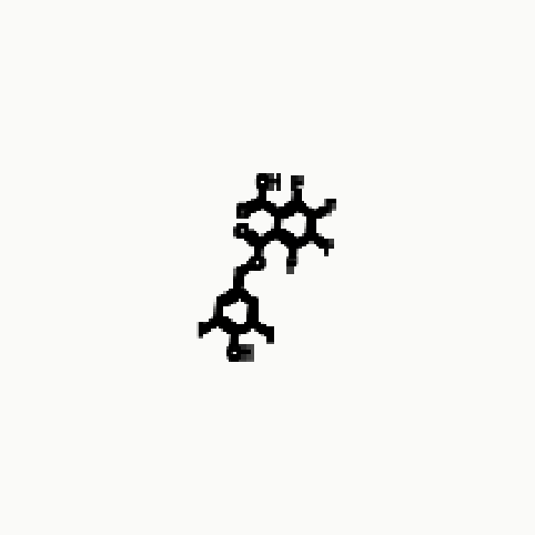 O=C(O)c1c(F)c(F)c(F)c(F)c1C(=O)OCc1cc(I)c(O)c(I)c1